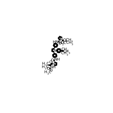 COC(=O)N[C@H](C(=O)N1CCC[C@H]1C(=O)Nc1ccc([C@@H]2CC[C@@H](c3ccc(NC(=O)[C@@H]4CCCN4C(=O)OC(C)(C)C)cc3)N2c2ccc(C(C)(C)C)cc2)cc1)C(C)C